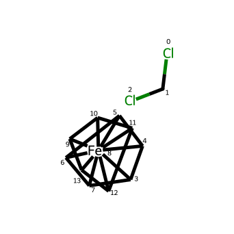 ClCCl.[CH]12[CH]3[CH]4[CH]5[CH]1[Fe]23451678[CH]2[CH]1[CH]6[CH]7[CH]28